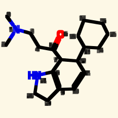 CN(C)CCC(=O)C1C2=C(C=CC1C1CCCCC1)CCN2